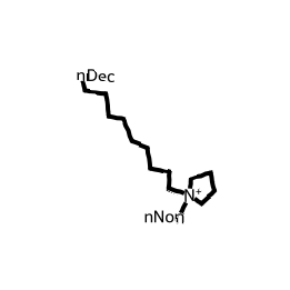 CCCCCCCCCCCCCCCCCCC[N+]1(CCCCCCCCC)CCCC1